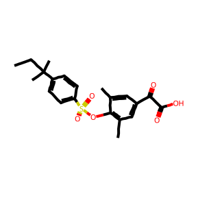 CCC(C)(C)c1ccc(S(=O)(=O)Oc2c(C)cc(C(=O)C(=O)O)cc2C)cc1